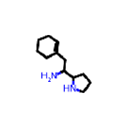 NC(CC1=CCCCC1)C1CCCN1